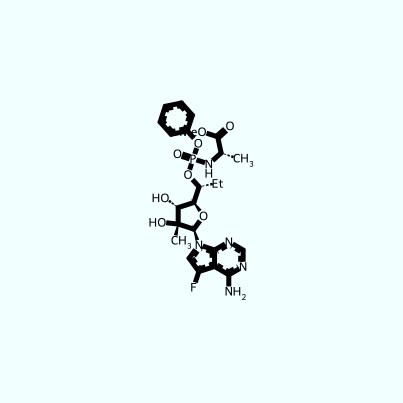 CC[C@@H](OP(=O)(N[C@@H](C)C(=O)OC)Oc1ccccc1)[C@H]1O[C@@H](n2cc(F)c3c(N)ncnc32)[C@](C)(O)[C@@H]1O